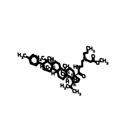 C=C(C)[C@@H]1CC[C@]2(C(=O)NCCN(CCC)CC(=O)OC)CC[C@]3(C)[C@H](CC[C@@H]4[C@@]5(C)CC=C(c6ccc(C)cc6)C(C)(C)[C@@H]5CC[C@]43C)[C@@H]12